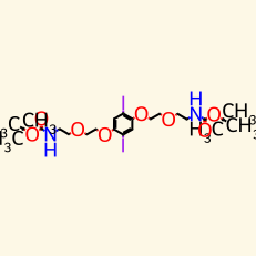 CC(C)(C)OC(=O)NCCOCCOc1cc(I)c(OCCOCCNC(=O)OC(C)(C)C)cc1I